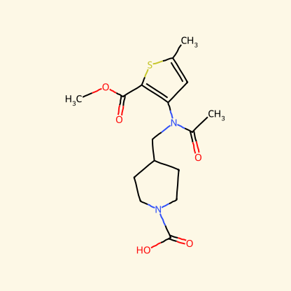 COC(=O)c1sc(C)cc1N(CC1CCN(C(=O)O)CC1)C(C)=O